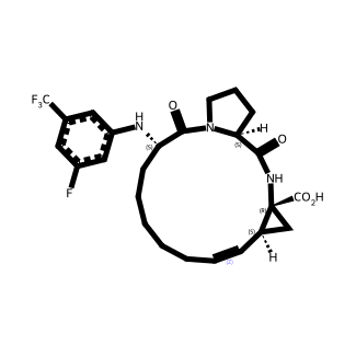 O=C1N[C@]2(C(=O)O)C[C@H]2/C=C\CCCCC[C@H](Nc2cc(F)cc(C(F)(F)F)c2)C(=O)N2CCC[C@@H]12